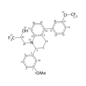 COc1cccc(C2CCc3c(-c4cccc(OC(F)(F)F)c4)cccc3N2CC(O)C(F)(F)F)c1